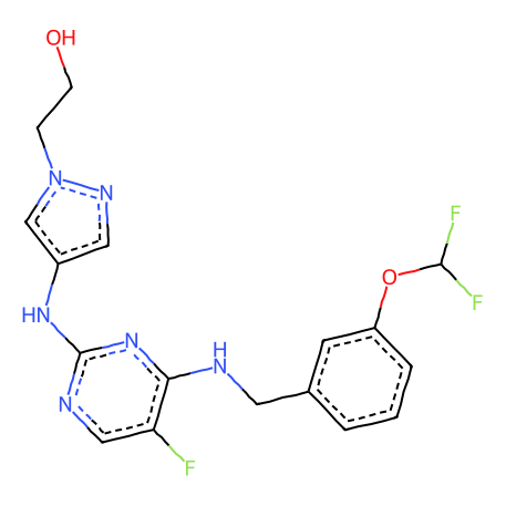 OCCn1cc(Nc2ncc(F)c(NCc3cccc(OC(F)F)c3)n2)cn1